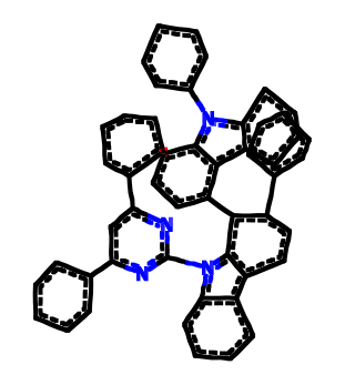 c1ccc(-c2cc(-c3ccccc3)nc(-n3c4ccccc4c4ccc(-c5ccccc5)c(-c5cccc6c5c5ccccc5n6-c5ccccc5)c43)n2)cc1